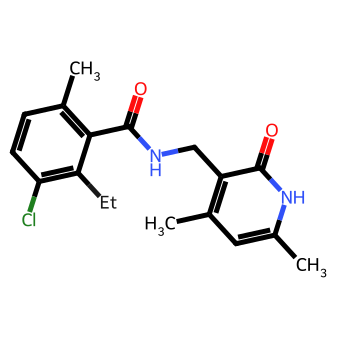 CCc1c(Cl)ccc(C)c1C(=O)NCc1c(C)cc(C)[nH]c1=O